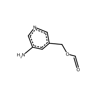 Nc1cncc(COC=O)c1